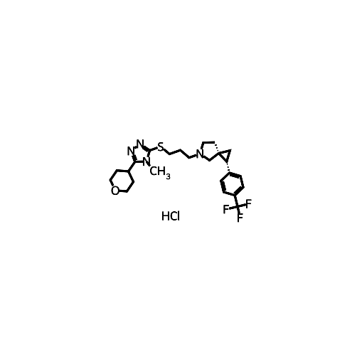 Cl.Cn1c(SCCCN2CC[C@@]3(C[C@@H]3c3ccc(C(F)(F)F)cc3)C2)nnc1C1CCOCC1